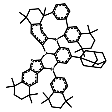 CC1(C)CCC(C)(C)c2cc(N3c4cc(C56CC7CC(CC(C7)C5)C6)cc5c4B(c4cc6c7cc4N5c4cc5c(cc4-c4cccc(c4)C7(C)CCC6(C)C)C(C)(C)CCC5(C)C)c4sc5cc6c(cc5c43)C(C)(C)CCC6(C)C)ccc21